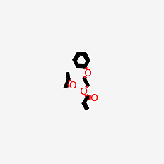 C=CC(=O)OCCOc1ccccc1.CC1CO1